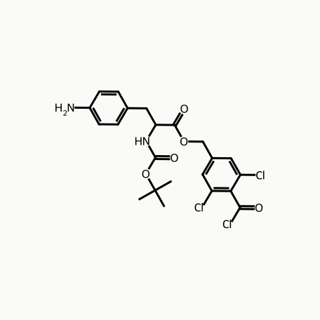 CC(C)(C)OC(=O)NC(Cc1ccc(N)cc1)C(=O)OCc1cc(Cl)c(C(=O)Cl)c(Cl)c1